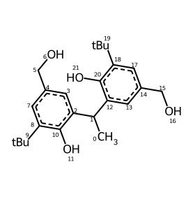 CC(c1cc(CO)cc(C(C)(C)C)c1O)c1cc(CO)cc(C(C)(C)C)c1O